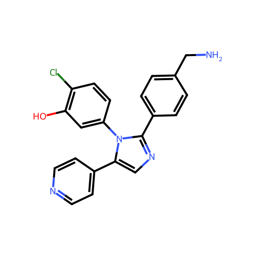 NCc1ccc(-c2ncc(-c3ccncc3)n2-c2ccc(Cl)c(O)c2)cc1